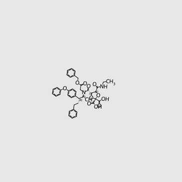 CCNC(=O)[C@H]1OC(C(=O)O)(C(=O)O)O[C@@H]1C(=O)N(CC(=O)OCc1ccccc1)[C@H](C)[C@H](CCc1ccccc1)c1ccc(Oc2ccccc2)cc1